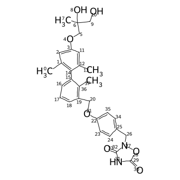 Cc1cc(OCC(C)(O)CO)cc(C)c1-c1cccc(COc2ccc(Cn3oc(=O)[nH]c3=O)cc2)c1C